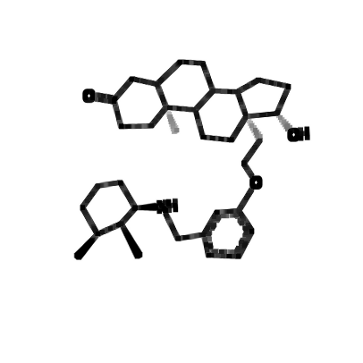 C[C@H]1[C@@H](C)CCC[C@H]1NCc1cccc(OCC[C@]23CCC4C(CCC5CC(=O)CC[C@@]54C)C2CC[C@@H]3O)c1